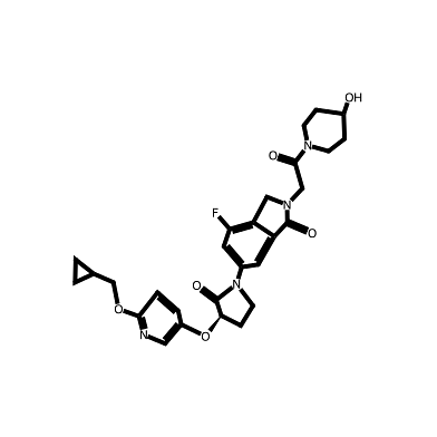 O=C(CN1Cc2c(F)cc(N3CC[C@@H](Oc4ccc(OCC5CC5)nc4)C3=O)cc2C1=O)N1CCC(O)CC1